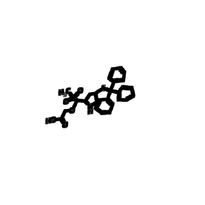 CS(=O)(=O)C(OCC(=O)O)C1CC(SC(c2ccccc2)(c2ccccc2)c2ccccc2)CN1